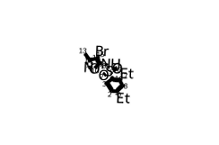 CCc1ccc(S(=O)(=O)Nc2onc(C)c2Br)c(CC)c1